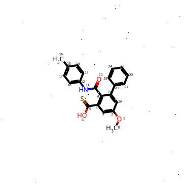 COc1cc(C(O)=S)c(C(=O)Nc2ccc(C)cc2)c(-c2ccccc2)c1